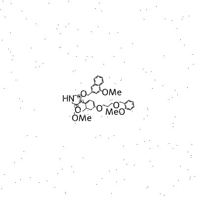 COCO[C@@H]1CNC[C@H](OCc2cc(OC)c3ccccc3c2)[C@H]1C1=CC=C(OCCCOCc2ccccc2OC)CC1C